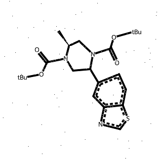 C[C@H]1CN(C(=O)OC(C)(C)C)C(c2ccc3scnc3c2)CN1C(=O)OC(C)(C)C